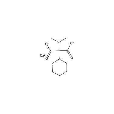 CC(C)C(C(=O)[O-])(C(=O)[O-])C1CCCCC1.[Ca+2]